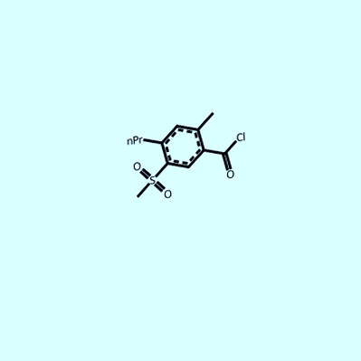 CCCc1cc(C)c(C(=O)Cl)cc1S(C)(=O)=O